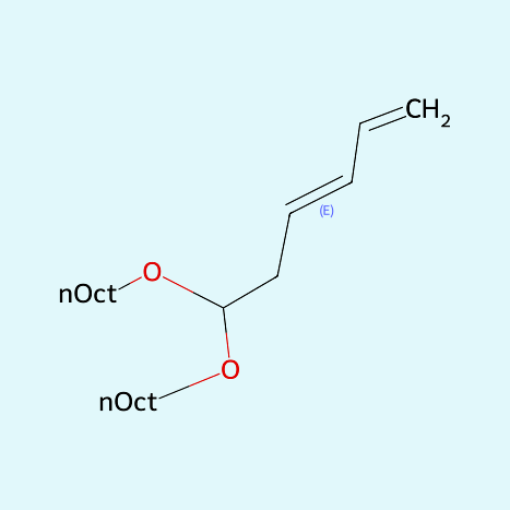 C=C/C=C/CC(OCCCCCCCC)OCCCCCCCC